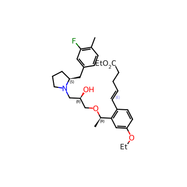 CCOC(=O)CC/C=C/c1ccc(OCC)cc1[C@@H](C)OC[C@H](O)CN1CCC[C@H]1Cc1ccc(C)c(F)c1